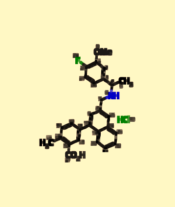 COc1cc(C(C)NCc2cc(-c3ccc(C)c(C(=O)O)c3)c3ccccc3c2)ccc1F.Cl